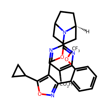 O=C(O)c1cnc(N2C3CC[C@H]2CC(OCc2c(-c4ccccc4OC(F)(F)F)noc2C2CC2)C3)nc1